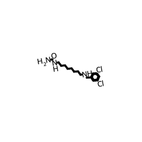 NC(=O)NCCCCCCCCNCc1cc(Cl)cc(Cl)c1